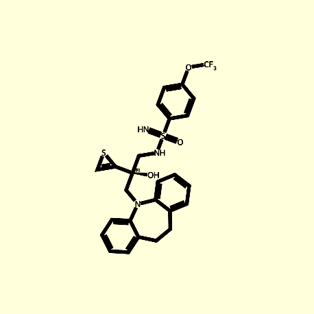 N=S(=O)(NC[C@](O)(CN1c2ccccc2CCc2ccccc21)C1=CS1)c1ccc(OC(F)(F)F)cc1